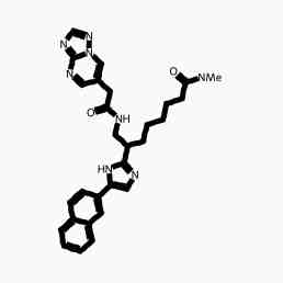 CNC(=O)CCCCCC(CNC(=O)Cc1cnc2ncnn2c1)c1ncc(-c2ccc3ccccc3c2)[nH]1